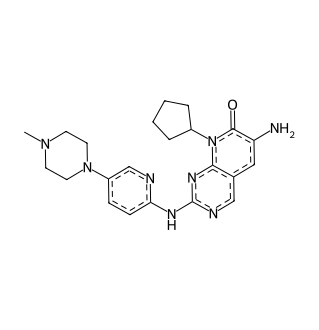 CN1CCN(c2ccc(Nc3ncc4cc(N)c(=O)n(C5CCCC5)c4n3)nc2)CC1